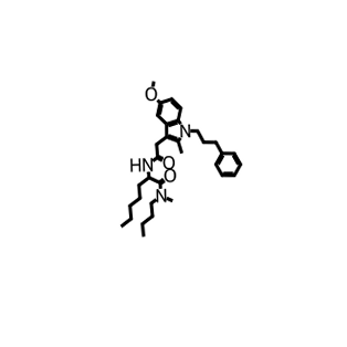 CCCCCC(NC(=O)Cc1c(C)n(CCCc2ccccc2)c2ccc(OC)cc12)C(=O)N(C)CCCC